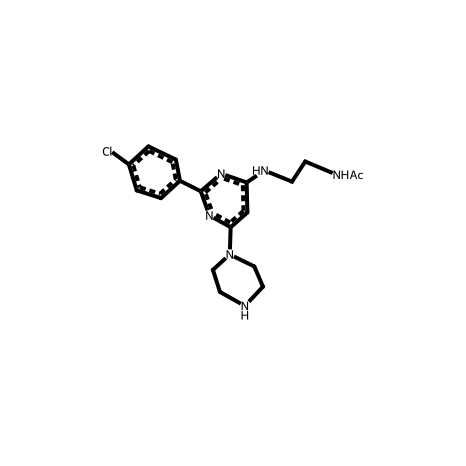 CC(=O)NCCNc1cc(N2CCNCC2)nc(-c2ccc(Cl)cc2)n1